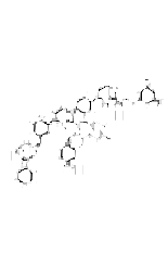 CCC1CN(C)CCN1C(c1cccc(-c2ccnc(NCCc3cc(F)cc(F)c3)n2)c1)N(CCc1ccc(O)cc1)c1nccc(-c2cccc(CN3CCN[C@H](c4ccccc4)C3)c2)n1